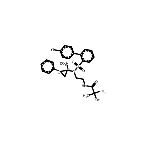 CC(C)(O)C(=O)NCCN([C@]1(C(=O)O)C[C@H]1c1ccccc1)S(=O)(=O)c1ccccc1-c1ccc(Cl)cc1